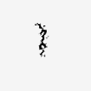 CN(CCO)c1ccc(/C=C/c2cc[n+](CCO)cc2)cc1.[I-]